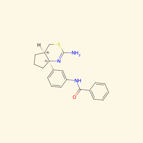 NC1=N[C@@]2(c3cccc(NC(=O)c4ccccc4)c3)CCC[C@H]2CS1